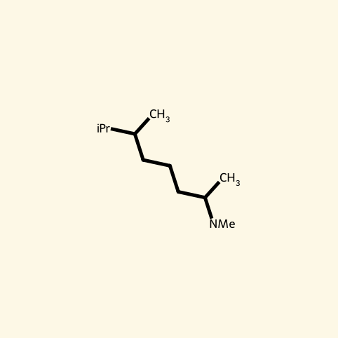 CNC(C)CCCC(C)C(C)C